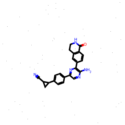 N#CC1CC1c1ccc(-c2cnc(N)c(-c3ccc4c(c3)CCNC4=O)n2)cc1